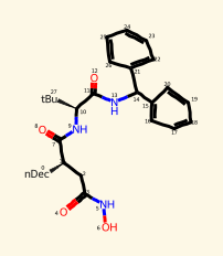 CCCCCCCCCC[C@H](CC(=O)NO)C(=O)N[C@H](C(=O)NC(c1ccccc1)c1ccccc1)C(C)(C)C